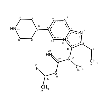 CCc1nc2ncc(N3CCNCC3)cn2c1N(C)C(=N)SC(C)F